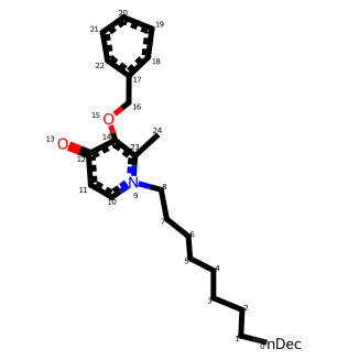 CCCCCCCCCCCCCCCCCCn1ccc(=O)c(OCc2ccccc2)c1C